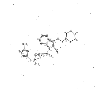 Cn1nnc(CC(C)(C)CNC(=O)n2c(=O)n(CCN3CCOCC3)c3ccccc32)n1